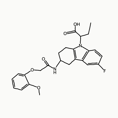 CCC(C(=O)O)n1c2c(c3cc(F)ccc31)CC(NC(=O)COc1ccccc1OC)CC2